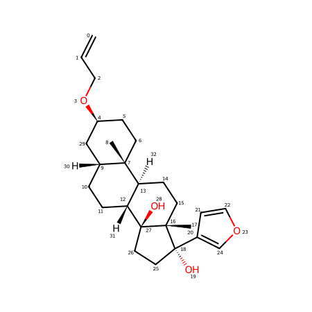 C=CCO[C@H]1CC[C@@]2(C)[C@H](CC[C@@H]3[C@@H]2CC[C@]2(C)[C@@](O)(c4ccoc4)CC[C@]32O)C1